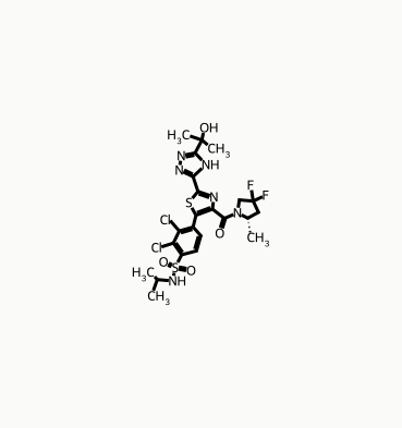 CC(C)NS(=O)(=O)c1ccc(-c2sc(-c3nnc(C(C)(C)O)[nH]3)nc2C(=O)N2CC(F)(F)C[C@@H]2C)c(Cl)c1Cl